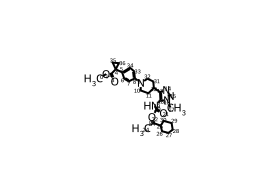 COC(=O)C1(c2ccc(N3CCC(c4nnn(C)c4NC(=O)O[C@H](C)C4CCCCC4)CC3)cc2)CC1